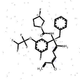 C=C/C(Cl)=C\C=C(/N)[C@@](Cc1ccccc1)(NC(=O)N1CC[C@@H](F)C1)c1cc(F)cc(OC(F)(F)C(F)F)c1